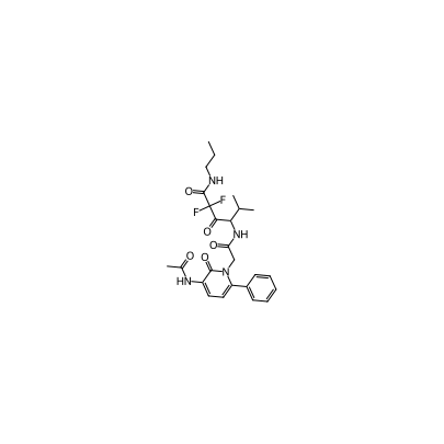 CCCNC(=O)C(F)(F)C(=O)C(NC(=O)Cn1c(-c2ccccc2)ccc(NC(C)=O)c1=O)C(C)C